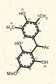 COc1cc(O)c(C(C(C)=O)c2cc(C)c(O)c(C)c2)c(O)c1